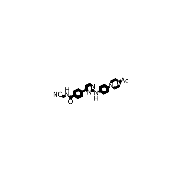 CC(=O)N1CCN(c2ccc(Nc3nccc(-c4ccc(C(=O)NCC#N)cc4)n3)cc2)CC1